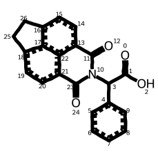 O=C(O)C(c1ccccc1)N1C(=O)c2ccc3c4c(ccc(c24)C1=O)CC3